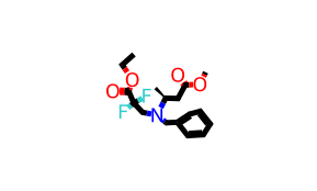 CCOC(=O)C(F)(F)CN(Cc1ccccc1)[C@@H](C)CC(=O)OC